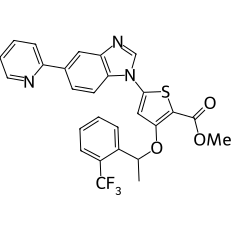 COC(=O)c1sc(-n2cnc3cc(-c4ccccn4)ccc32)cc1OC(C)c1ccccc1C(F)(F)F